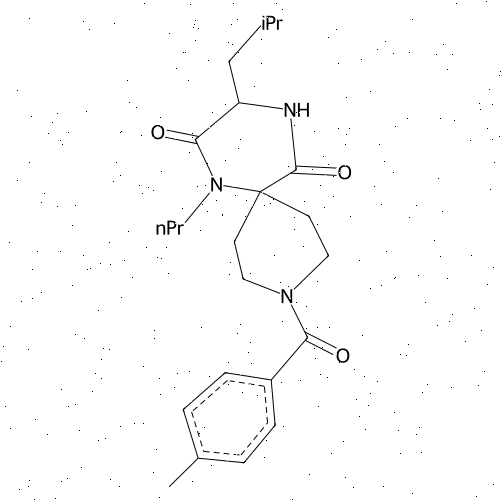 CCCN1C(=O)C(CC(C)C)NC(=O)C12CCN(C(=O)c1ccc(C)cc1)CC2